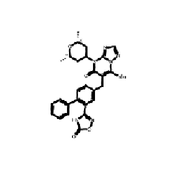 CCCCc1c(Cc2ccc(-c3ccccc3)c(-c3noc(=O)[nH]3)c2)c(=O)n(C2C[C@@H](C)O[C@@H](C)C2)c2ncnn12